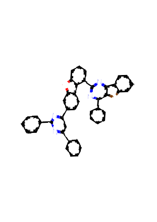 c1ccc(-c2cc(-c3ccc4c(c3)oc3cccc(-c5nc(-c6ccccc6)c6sc7ccccc7c6n5)c34)nc(-c3ccccc3)n2)cc1